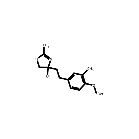 CCCCCCCCOc1ccc(CCC2(CC)COC(C)=N2)cc1C